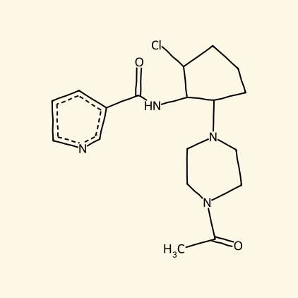 CC(=O)N1CCN(C2CCCC(Cl)C2NC(=O)c2cccnc2)CC1